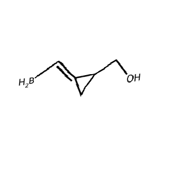 B/C=C1\CC1CO